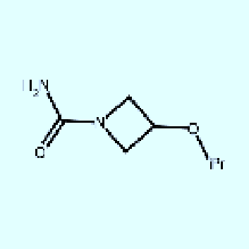 CC(C)OC1CN(C(N)=O)C1